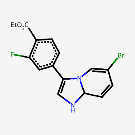 CCOC(=O)c1ccc(C2=CNC3C=CC(Br)=CN23)cc1F